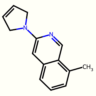 Cc1cccc2cc(N3CC=CC3)ncc12